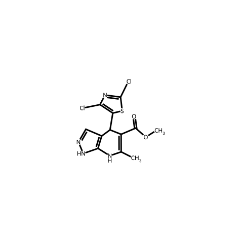 COC(=O)C1=C(C)Nc2[nH]ncc2C1c1sc(Cl)nc1Cl